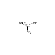 CC(C)[13C@H](N)C(=O)O